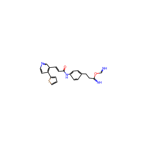 N=COC(=N)CCc1ccc(NC(=O)/C=C/c2cnccc2-c2cccs2)cc1